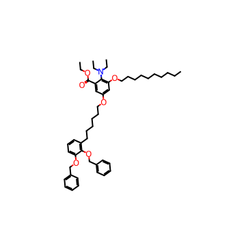 CCCCCCCCCCOc1cc(OCCCCCCc2cccc(OCc3ccccc3)c2OCc2ccccc2)cc(C(=O)OCC)c1N(CC)CC